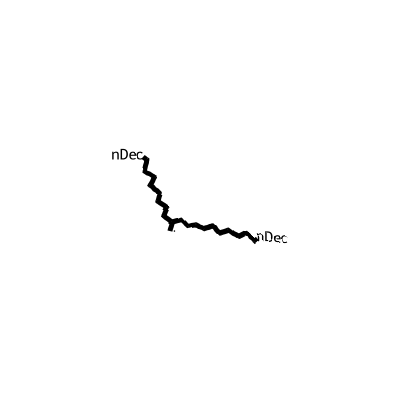 [CH2]C(CCCCCCCCCCCCCCCCCC)CCCCCCCCCCCCCCCCCCCC